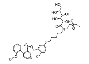 CCS(=O)(=O)CCN(CCCCCSc1ccc(Cl)c(COC2(c3cnccc3-c3ccccc3OC3CC3)CC2)c1)C(=O)[C@@H](O)[C@@H](O)[C@H](O)[C@@H](O)CO